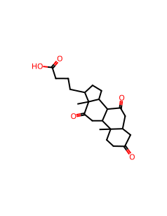 CC12CCC(=O)CC1CC(=O)C1C2CC(=O)C2(C)C(CCCC(=O)O)CCC12